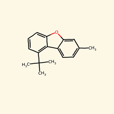 Cc1ccc2c(c1)oc1cccc(C(C)(C)C)c12